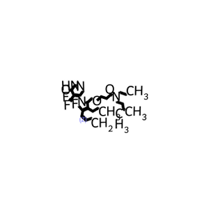 C=C/C=C\C1=C(CCC)C(COCCC(=O)N(CCC)CCC(C)C)N(c2cn[nH]c(=O)c2C(F)(F)F)C1